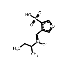 CCC(C)[N+]([O-])=Cc1cocc1S(=O)(=O)O